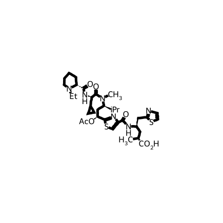 CCN1CCCC[C@@H]1C(=O)N[C@H](C(=O)N(C)[C@H](C[C@@H](OC(C)=O)c1nc(C(=O)N[C@@H](Cc2nccs2)C[C@H](C)C(=O)O)cs1)C(C)C)C1CC1